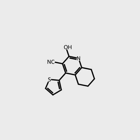 N#Cc1c(O)nc2c(c1-c1cccs1)CCCC2